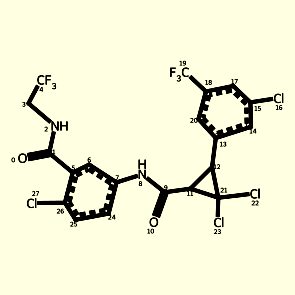 O=C(NCC(F)(F)F)c1cc(NC(=O)C2C(c3cc(Cl)cc(C(F)(F)F)c3)C2(Cl)Cl)ccc1Cl